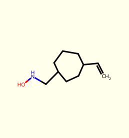 C=CC1CCCC(CNO)CC1